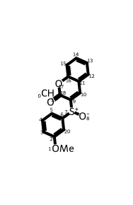 C.COc1cccc([S+]([O-])c2cc3ccccc3oc2=O)c1